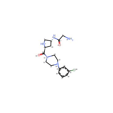 NCC(=O)N[C@H]1CN[C@H](C(=O)N2CCN(c3cccc(Cl)c3)CC2)C1